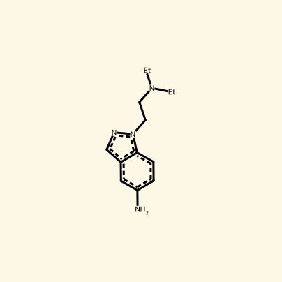 CCN(CC)CCn1ncc2cc(N)ccc21